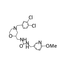 COc1ccc(CNC(=O)NCC2CN(Cc3ccc(Cl)c(Cl)c3)CCO2)cn1